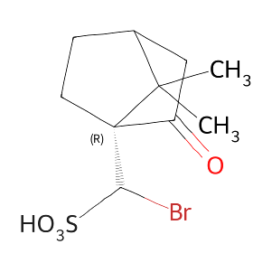 CC1(C)C2CC[C@]1(C(Br)S(=O)(=O)O)C(=O)C2